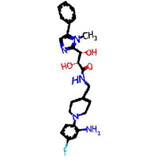 Cn1c(-c2ccccc2)cnc1[C@H](O)[C@@H](O)C(=O)NCC1CCN(c2ccc(F)cc2N)CC1